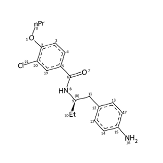 CCCOc1ccc(C(=O)N[C@H](CC)Cc2ccc(N)cc2)cc1Cl